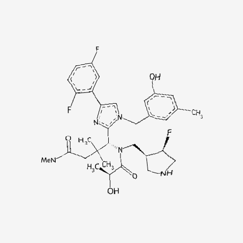 CNC(=O)CC(C)(C)[C@H](c1nc(-c2cc(F)ccc2F)cn1Cc1cc(C)cc(O)c1)N(C[C@@H]1CNC[C@@H]1F)C(=O)[C@H](C)O